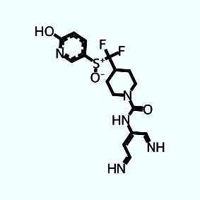 N=C/C=C(\C=N)NC(=O)N1CCC(C(F)(F)[S+]([O-])c2ccc(O)nc2)CC1